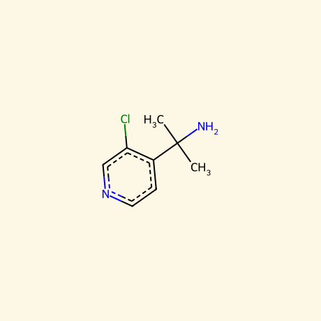 CC(C)(N)c1ccncc1Cl